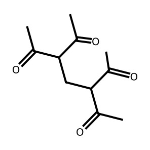 CC(=O)C(CC(C(C)=O)C(C)=O)C(C)=O